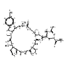 C/C=C\N1C(=O)[C@H](C)NC(=O)[C@H](CC(C)C)NC(=O)[C@@H](NC(=O)[C@H](CCC(N)=O)NC(=O)C(C)CC)[C@@H](C)OC(=O)[C@H](C(C)CC)NC(=O)C(Cc2ccc(O)cc2)N(C)C(=O)C1C(C)CC